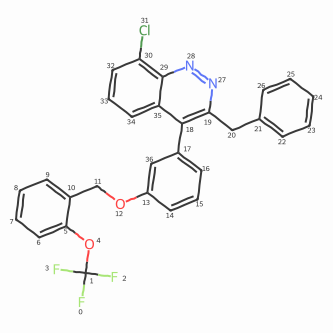 FC(F)(F)Oc1ccccc1COc1cccc(-c2c(Cc3ccccc3)nnc3c(Cl)cccc23)c1